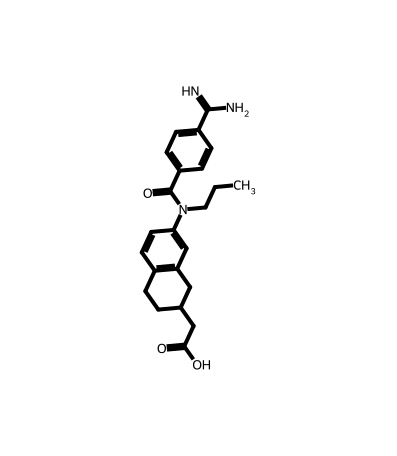 CCCN(C(=O)c1ccc(C(=N)N)cc1)c1ccc2c(c1)CC(CC(=O)O)CC2